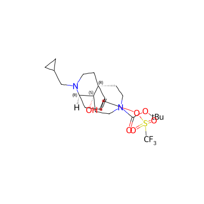 CC(C)(C)OC(=O)N1CC[C@]23CCN(CC4CC4)[C@H](Cc4ccc(OS(=O)(=O)C(F)(F)F)cc42)[C@]3(O)CC1